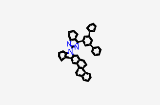 c1ccc(-c2cc(-c3ccccc3)cc(-c3nc(-n4c5ccccc5c5cc6c(ccc7c8ccccc8ccc67)cc54)nc4ccccc34)c2)cc1